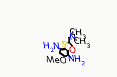 COc1cc(N)c2c(c1N)OCC(CN(C)C)S2